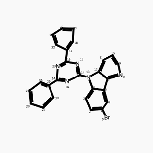 Brc1ccc2c(c1)c1ncccc1n2-c1nc(-c2ccccc2)nc(-c2ccccc2)n1